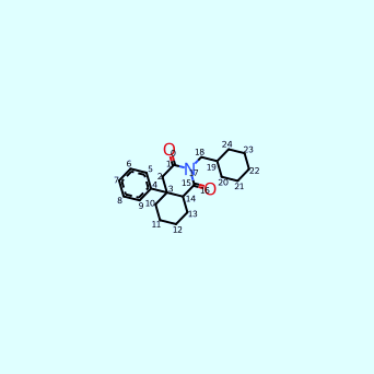 O=C1CC2(c3ccccc3)CCCCC2C(=O)N1CC1CCCCC1